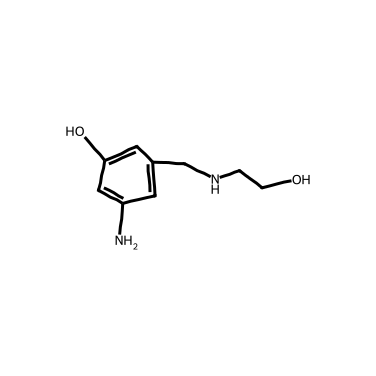 Nc1cc(O)cc(CNCCO)c1